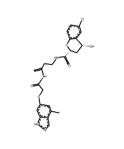 C=C(CCNC(=O)[C@H]1C[C@@H](O)c2cc(Cl)ccc2O1)NC(=O)COc1cc(F)c2cn[nH]c2c1